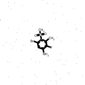 Cc1c(F)c(N)cc(Br)c1S(C)(=O)=O